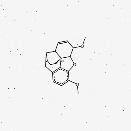 COc1ccc2c3c1OC1C(OC)C=CC4C(CCC[C@@]341)C2